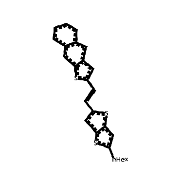 CCCCCCc1cc2sc(C=Cc3cc4cc5ccccc5cc4s3)cc2s1